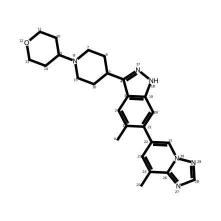 Cc1cc2c(C3CCN(C4CCOCC4)CC3)n[nH]c2cc1-c1cc(C)c2ncnn2c1